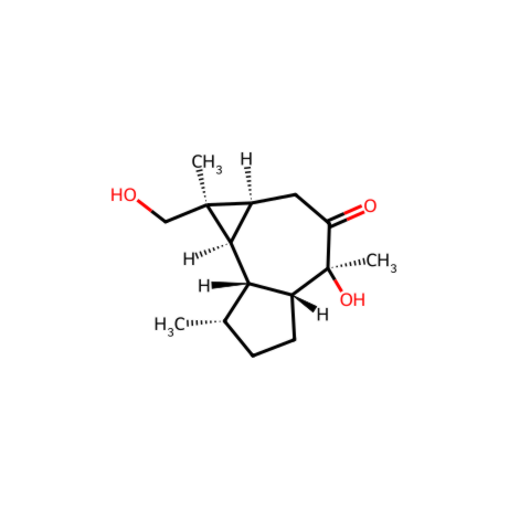 C[C@H]1CC[C@@H]2[C@H]1[C@@H]1[C@H](CC(=O)[C@@]2(C)O)[C@]1(C)CO